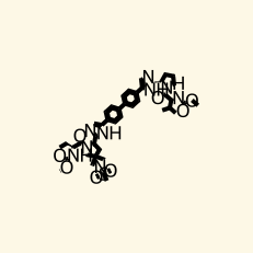 CC[C@H](NC(=O)OC)C(=O)N1CC2(CC1c1ncc(-c3ccc(-c4ccc(-c5cnc([C@@H]6CCCN6C(=O)[C@@H](NC(=O)OC)C(C)C)[nH]5)cc4)cc3)[nH]1)CN(S(C)(=O)=O)C2